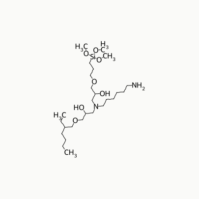 CCCCC(CC)COCC(O)CN(CCCCCCN)CC(O)COCCC[Si](OC)(OC)OC